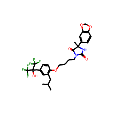 CC(C)Cc1cc(C(O)(C(F)(F)F)C(F)(F)F)ccc1OCCCCN1C(=O)NC(C)(c2ccc3c(c2)OCO3)C1=O